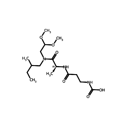 CCC(C)CN(CC(OC)OC)C(=O)[C@H](C)NC(=O)CCNC(=O)O